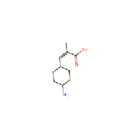 CC(=CC1CCC(N)CC1)C(=O)O